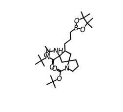 CC(=O)NC1(C(=O)NC(C)(C)C)CC2(CCCN2C(=O)OC(C)(C)C)CC1CCCB1OC(C)(C)C(C)(C)O1